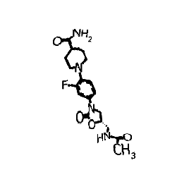 CC(=O)NC[C@H]1CN(c2ccc(N3CCC(C(N)=O)CC3)c(F)c2)C(=O)O1